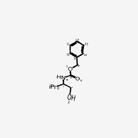 CC(C)C(CO)NC(=O)OCc1ccccc1